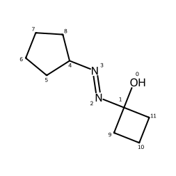 OC1(/N=N/C2CCCC2)CCC1